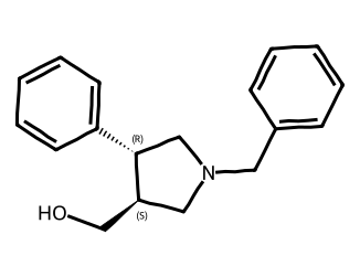 OC[C@@H]1CN(Cc2ccccc2)C[C@H]1c1ccccc1